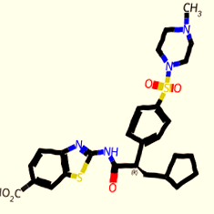 CN1CCN(S(=O)(=O)c2ccc([C@@H](CC3CCCC3)C(=O)Nc3nc4ccc(C(=O)O)cc4s3)cc2)CC1